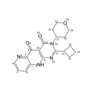 O=c1c2ncccc2[nH]c2nc(C3CCC3)n(C3CCOCC3)c(=O)c12